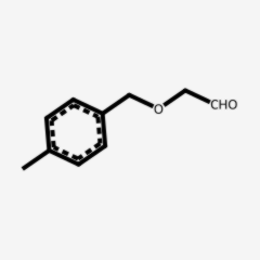 Cc1ccc(COCC=O)cc1